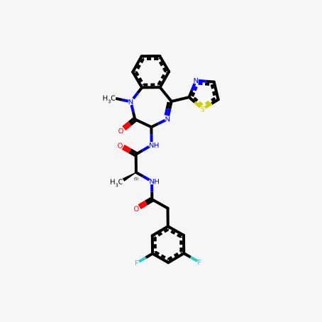 C[C@H](NC(=O)Cc1cc(F)cc(F)c1)C(=O)NC1N=C(c2nccs2)c2ccccc2N(C)C1=O